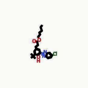 CCCCCCOC(=O)CCc1cc(-n2nc3ccc(Cl)cc3n2)c(O)c(C(C)(C)C)c1